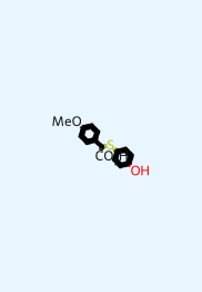 COc1ccc(C(Sc2ccc(O)cc2)C(=O)O)cc1